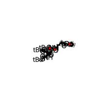 CC(C)(CCCCNC(=O)[C@H](CCC(=O)N(CCNC(=O)OC(C)(C)C)CNC(=O)OC(C)(C)C)NC(=O)OC(C)(C)C)CC(=O)OCc1ccccc1